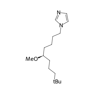 CO[C@@H](CCCCn1ccnc1)CCCC(C)(C)C